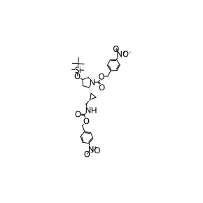 CC(C)(C)[Si](C)(C)OC1CC([C@@H]2C[C@H]2CNC(=O)OCc2ccc([N+](=O)[O-])cc2)N(C(=O)OCc2ccc([N+](=O)[O-])cc2)C1